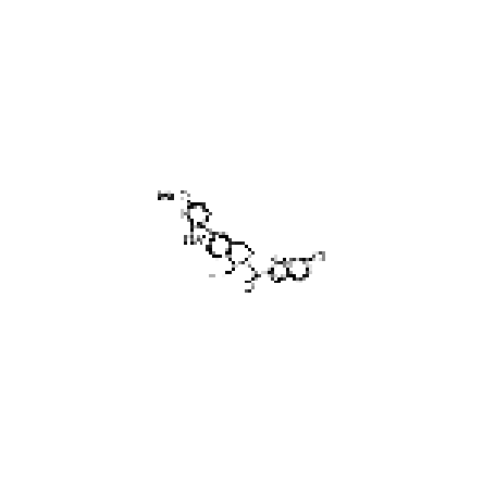 COc1ccc(-c2ccc3c(c2)CCN(C(=O)c2cc4ccc(Cl)cn4n2)C3C)c(OC)n1